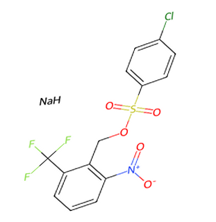 O=[N+]([O-])c1cccc(C(F)(F)F)c1COS(=O)(=O)c1ccc(Cl)cc1.[NaH]